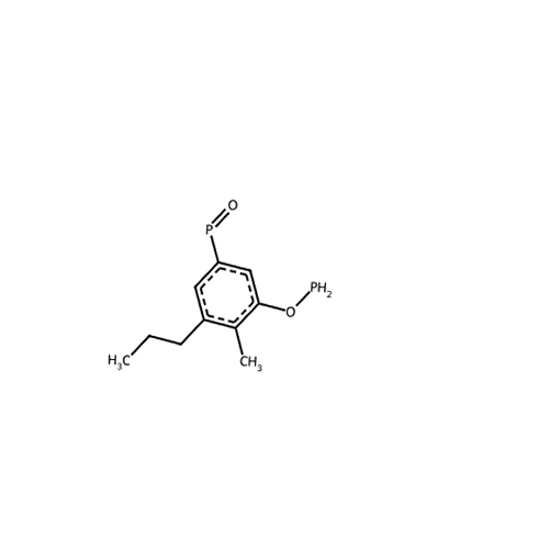 CCCc1cc(P=O)cc(OP)c1C